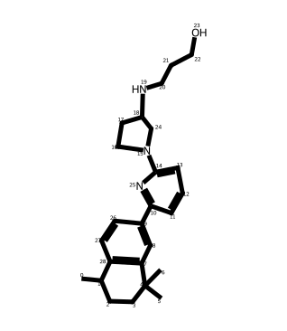 CC1CCC(C)(C)c2cc(-c3cccc(N4CCC(NCCCO)C4)n3)ccc21